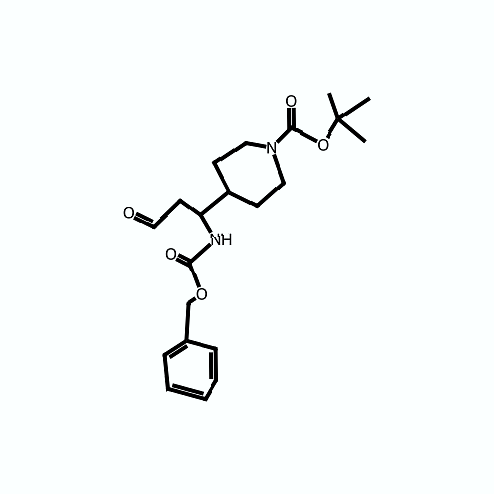 CC(C)(C)OC(=O)N1CCC(C(CC=O)NC(=O)OCc2ccccc2)CC1